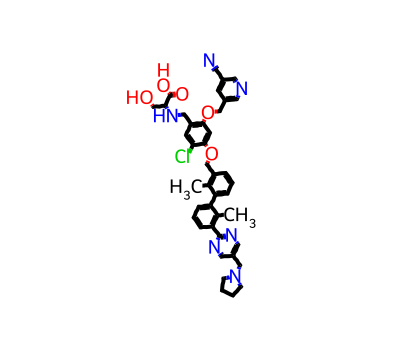 Cc1c(COc2cc(OCc3cncc(C#N)c3)c(CNC(CO)C(=O)O)cc2Cl)cccc1-c1cccc(-c2ncc(CN3CCCC3)cn2)c1C